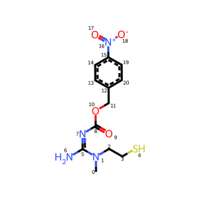 CN(CCS)C(N)=NC(=O)OCc1ccc([N+](=O)[O-])cc1